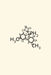 Cc1ccc(C(P)(c2ccc(C)cc2)C2CCC2)cc1